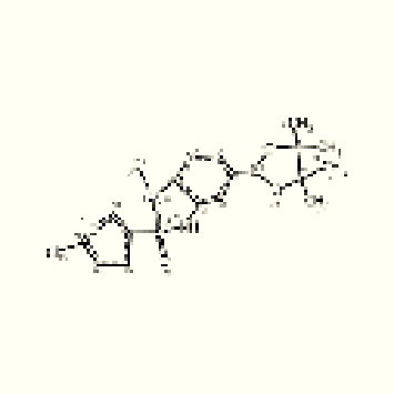 COc1ncc(B2OC(C)(C)C(C)(C)O2)cc1NS(=O)(=O)c1ccc(Cl)cc1